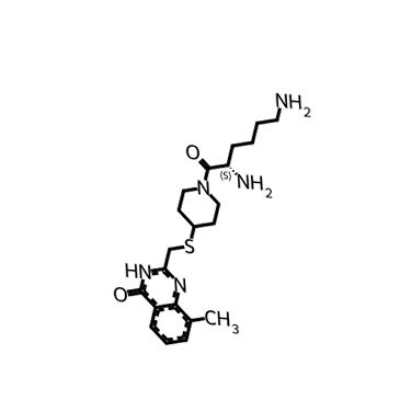 Cc1cccc2c(=O)[nH]c(CSC3CCN(C(=O)[C@@H](N)CCCCN)CC3)nc12